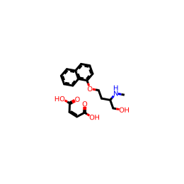 CNC(CO)CCOc1cccc2ccccc12.O=C(O)/C=C\C(=O)O